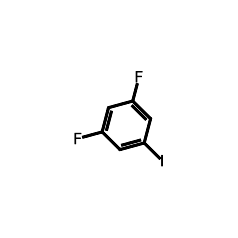 Fc1cc(F)cc(I)c1